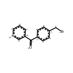 O=C(c1ccc(CBr)cc1)c1cccnc1